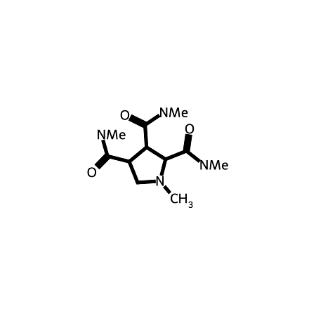 CNC(=O)C1CN(C)C(C(=O)NC)C1C(=O)NC